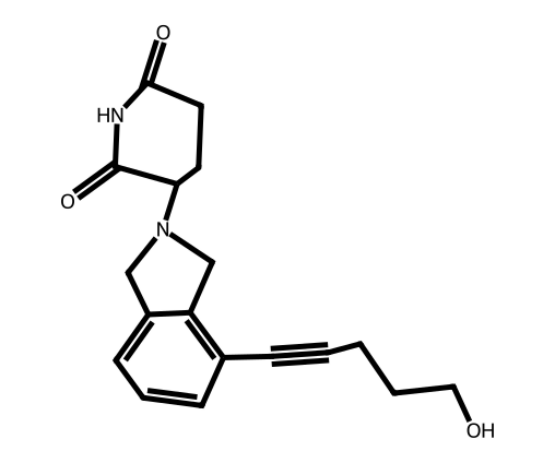 O=C1CCC(N2Cc3cccc(C#CCCCO)c3C2)C(=O)N1